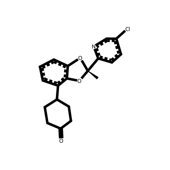 C[C@]1(c2ccc(Cl)cn2)Oc2cccc(C3CCC(=O)CC3)c2O1